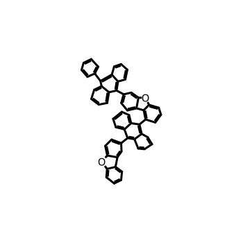 c1ccc(-c2c3ccccc3c(-c3ccc4c(c3)oc3cccc(-c5c6ccccc6c(-c6ccc7oc8ccccc8c7c6)c6ccccc56)c34)c3ccccc23)cc1